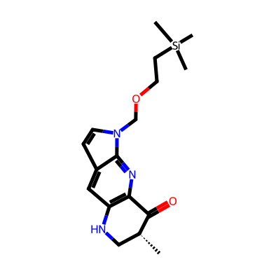 C[C@@H]1CNc2cc3ccn(COCC[Si](C)(C)C)c3nc2C1=O